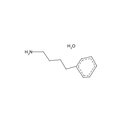 NCCCCc1ccccc1.O